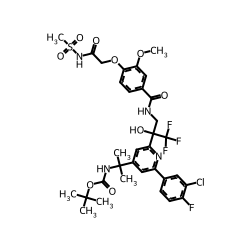 COc1cc(C(=O)NCC(O)(c2cc(C(C)(C)NC(=O)OC(C)(C)C)cc(-c3ccc(F)c(Cl)c3)n2)C(F)(F)F)ccc1OCC(=O)NS(C)(=O)=O